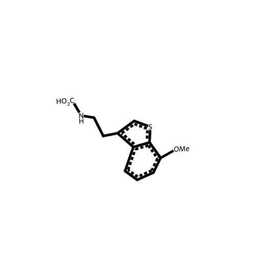 COc1cccc2c(CCNC(=O)O)csc12